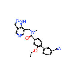 CCOc1cc(C(=O)N(C)Cc2cncc3cn[nH]c23)ccc1-c1cccc(C#N)c1